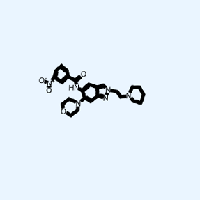 O=C(Nc1cc2cn(CCN3CCCCC3)nc2cc1N1CCOCC1)c1cccc([N+](=O)[O-])c1